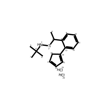 C[CH]([Ti][NH]C(C)(C)C)c1ccccc1C1=CC=CC1.Cl.Cl